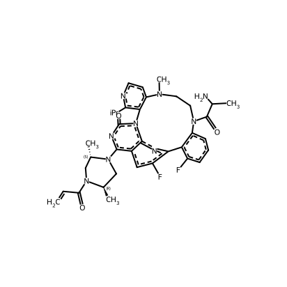 C=CC(=O)N1C[C@H](C)N(c2nc(=O)n3c4nc(c(F)cc24)-c2c(F)cccc2N(C(=O)C(C)N)CCN(C)c2ccnc(C(C)C)c2-3)C[C@H]1C